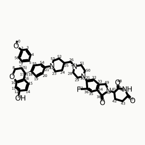 COc1cccc([C@H]2COc3cc(O)ccc3[C@H]2c2ccc(N3CCC(CN4CCN(c5cc6c(cc5F)C(=O)N(C5CCC(=O)NC5=O)C6)CC4)CC3)cc2)c1